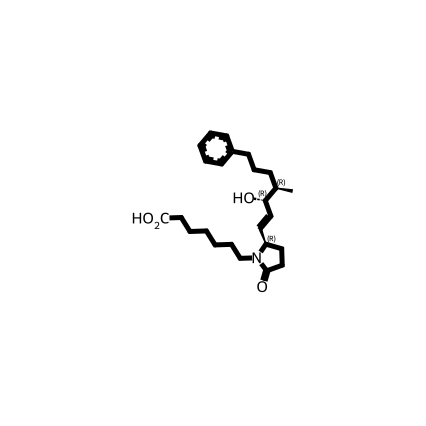 C[C@H](CCCc1ccccc1)[C@@H](O)C=C[C@H]1CCC(=O)N1CCCCCCC(=O)O